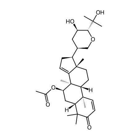 CC(=O)O[C@@H]1C[C@H]2C(C)(C)C(=O)C=C[C@]2(C)[C@H]2CC[C@]3(C)C(=CC[C@H]3[C@@H]3CO[C@@H](C(C)(C)O)[C@H](O)C3)[C@@]21C